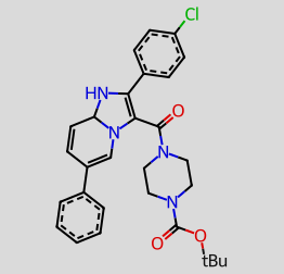 CC(C)(C)OC(=O)N1CCN(C(=O)C2=C(c3ccc(Cl)cc3)NC3C=CC(c4ccccc4)=CN23)CC1